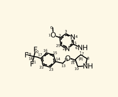 COc1cnc(N[C@@H]2CNC[C@H]2OCc2ccc(C(F)(F)F)cc2)nc1